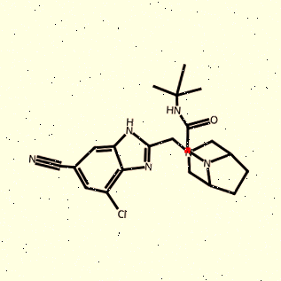 CC(C)(C)NC(=O)CN1C2CCC1CN(Cc1nc3c(Cl)cc(C#N)cc3[nH]1)C2